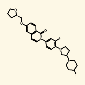 O=c1c2ccc(OC[C@H]3CCCO3)cc2ccn1-c1ccc(N2CCC(N3CCC(F)CC3)C2)c(F)c1